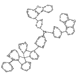 c1ccc(-c2cccc3c2-c2ccccc2C32c3ccccc3-c3c(-c4ccc(N(c5ccc(-c6cccc7oc8ccccc8c67)cc5)c5ccc(-c6cccc7oc8ccccc8c67)cc5)cc4)cccc32)cc1